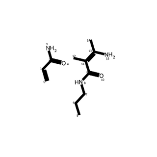 C=CC(N)=O.CCCNC(=O)/C(C)=C(/C)N